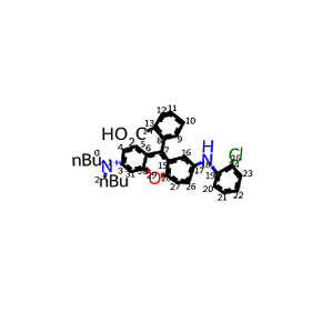 CCCC[N+](CCCC)=c1ccc2c(-c3ccccc3C(=O)O)c3cc(Nc4ccccc4Cl)ccc3oc-2c1